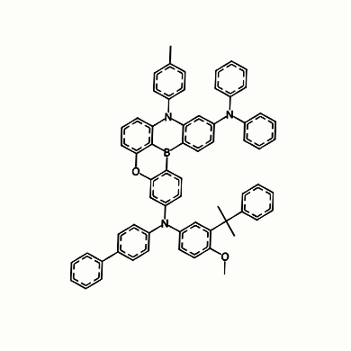 COc1ccc(N(c2ccc(-c3ccccc3)cc2)c2ccc3c(c2)Oc2cccc4c2B3c2ccc(N(c3ccccc3)c3ccccc3)cc2N4c2ccc(C)cc2)cc1C(C)(C)c1ccccc1